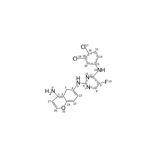 NC1=C2CC(Nc3ncc(F)c(Nc4ccc(Cl)c(Cl)c4)n3)=CC=C2OC=C1